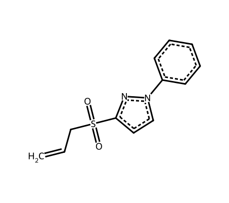 C=CCS(=O)(=O)c1ccn(-c2ccccc2)n1